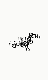 Cc1cc(NC(=O)[C@H](CCN)NC(=O)[C@@H]2Cc3ccccc3CN2C(=O)CCC(=O)N2CC[C@@H](N(C)C)C2)ccc1Cl